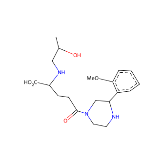 COc1ccccc1C1CN(C(=O)CCC(NCC(C)O)C(=O)O)CCN1